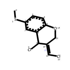 CSc1ccc2c(c1)C(Cl)/C(=C/Cl)CO2